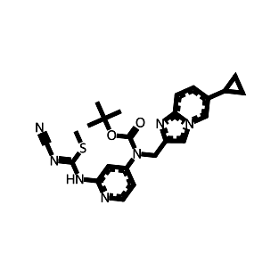 CS/C(=N\C#N)Nc1cc(N(Cc2cn3cc(C4CC4)ccc3n2)C(=O)OC(C)(C)C)ccn1